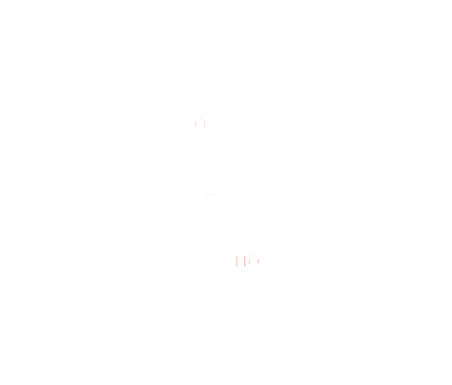 OC[C]1CCOCC1